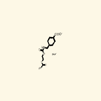 CC(C)C(=O)OCCOC(=O)NCC1CCC(C(=O)[O-])CC1.[Na+]